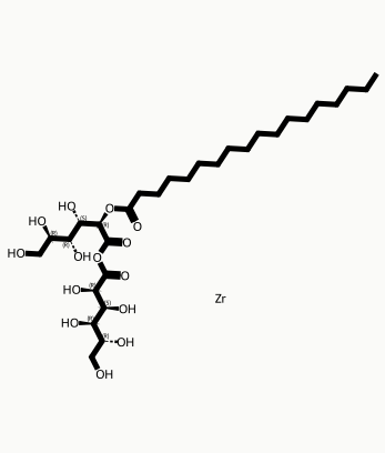 CCCCCCCCCCCCCCCCCC(=O)O[C@@H](C(=O)OC(=O)[C@H](O)[C@@H](O)[C@H](O)[C@H](O)CO)[C@@H](O)[C@H](O)[C@H](O)CO.[Zr]